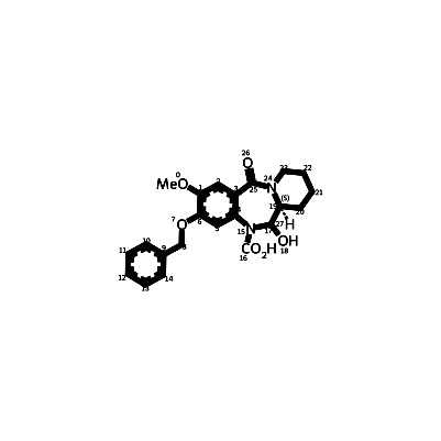 COc1cc2c(cc1OCc1ccccc1)N(C(=O)O)C(O)[C@@H]1CCCCN1C2=O